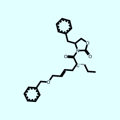 CCC[C@H](CC=CCOCc1ccccc1)C(=O)N1C(=O)OCC1Cc1ccccc1